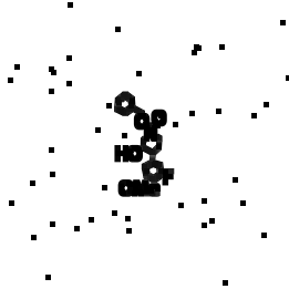 COc1ccc(C2CCN(C(=O)OCc3ccccc3)CC2O)cc1F